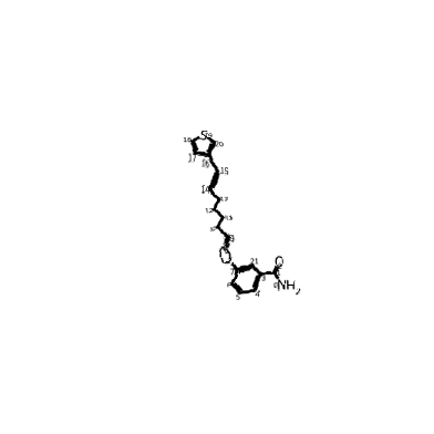 NC(=O)c1cccc(OCCCCCC=Cc2ccsc2)c1